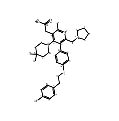 Cc1nc(CN2CCCC2)c(-c2ccc(OCCc3ccc(F)cc3)cc2)c(N2CCC(C)(C)CC2)c1CC(=O)O